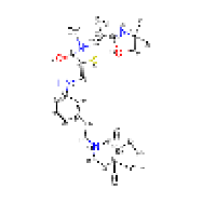 CCn1c(=O)c(=CNc2cccc(CCN3CC[C@H]4CCCC[C@@H]4C3)c2)s/c1=C(/C#N)C1=NC(C)(C)CO1